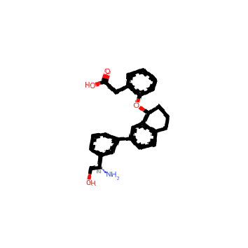 N[C@H](CO)c1cccc(-c2ccc3c(c2)C(Oc2ccccc2CC(=O)O)CCC3)c1